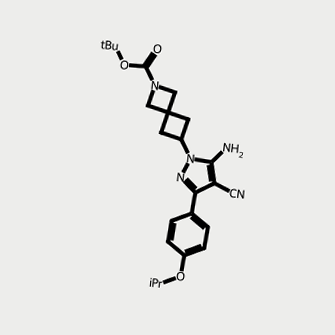 CC(C)Oc1ccc(-c2nn(C3CC4(C3)CN(C(=O)OC(C)(C)C)C4)c(N)c2C#N)cc1